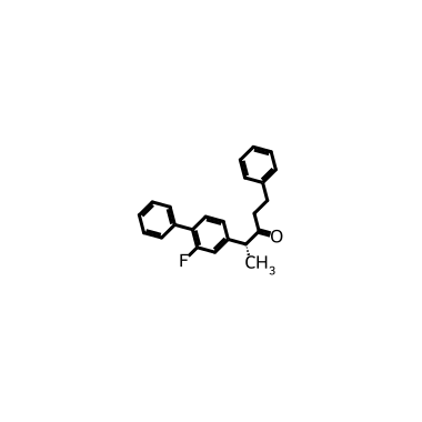 C[C@@H](C(=O)CCc1ccccc1)c1ccc(-c2ccccc2)c(F)c1